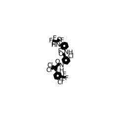 O=C(Nc1ccc(F)c(NC(=O)C(F)(F)F)c1F)c1cc(NC(=O)C2[C@H](c3ccc(Cl)c(C(F)(F)F)c3)C2(Cl)Cl)ccc1Cl